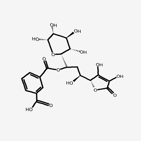 O=C1O[C@H]([C@@H](O)CC(OC(=O)c2cccc(C(=O)O)c2)[C@@H]2O[C@H](O)[C@H](O)[C@@H](O)[C@@H]2O)C(O)=C1O